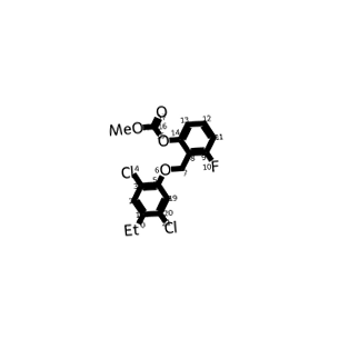 CCc1cc(Cl)c(OCc2c(F)cccc2OC(=O)OC)cc1Cl